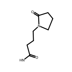 [NH]C(=O)CCCN1CCCC1=O